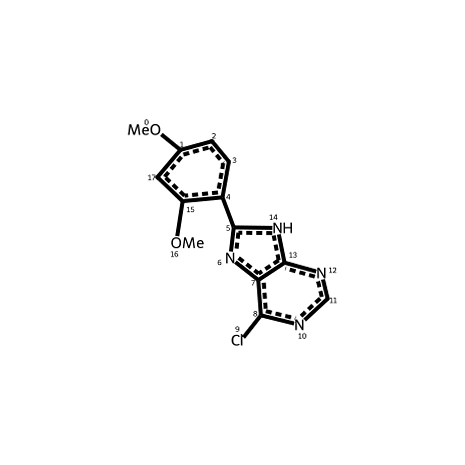 COc1ccc(-c2nc3c(Cl)ncnc3[nH]2)c(OC)c1